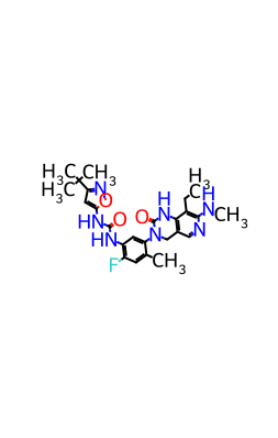 CCc1c(NC)ncc2c1NC(=O)N(c1cc(NC(=O)Nc3cc(C(C)(C)C)no3)c(F)cc1C)C2